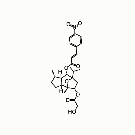 CC(C)C12C[C@@H](OC(=O)CO)[C@@](C)(O1)[C@@H]1CC[C@@H](C)[C@H]1[C@@H]2OC(=O)/C=C/c1ccc([N+](=O)[O-])cc1